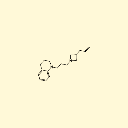 C=CCC1CN(CCCN2CCCc3ccccc32)C1